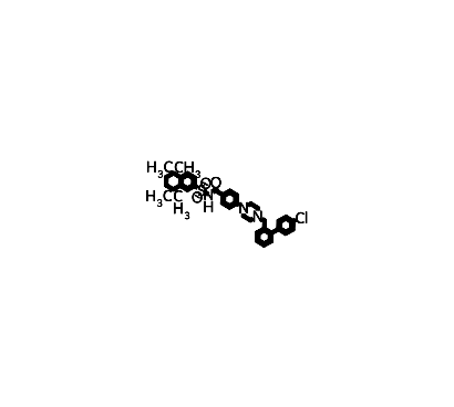 CC1(C)CCC(C)(C)c2cc(S(=O)(=O)NC(=O)c3ccc(N4CCN(Cc5ccccc5-c5ccc(Cl)cc5)CC4)cc3)ccc21